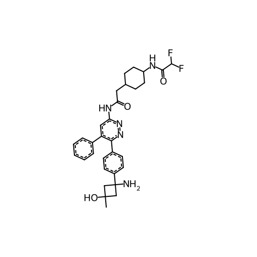 CC1(O)CC(N)(c2ccc(-c3nnc(NC(=O)CC4CCC(NC(=O)C(F)F)CC4)cc3-c3ccccc3)cc2)C1